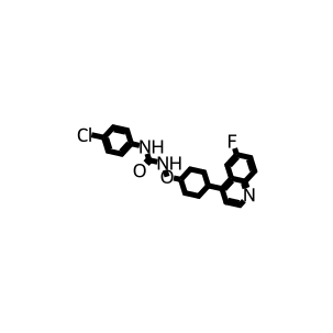 O=C(NOC1CCC(c2ccnc3ccc(F)cc23)CC1)Nc1ccc(Cl)cc1